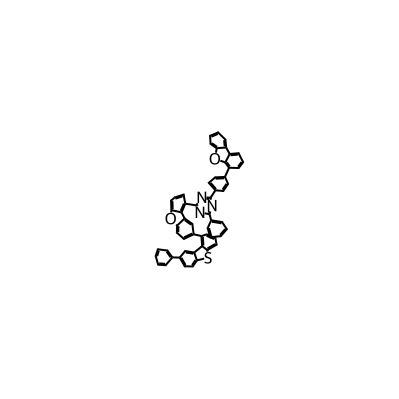 c1ccc(-c2ccc3sc4cccc(-c5ccc6oc7cccc(-c8nc(-c9ccccc9)nc(-c9ccc(-c%10cccc%11c%10oc%10ccccc%10%11)cc9)n8)c7c6c5)c4c3c2)cc1